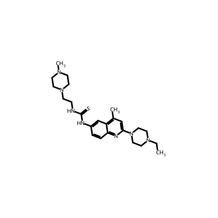 CCN1CCN(c2cc(C)c3cc(NC(=S)NCCN4CCN(C)CC4)ccc3n2)CC1